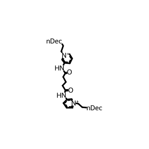 CCCCCCCCCCCC[n+]1cccc(NC(=O)CCCC(=O)Nc2ccc[n+](CCCCCCCCCCCC)c2)c1